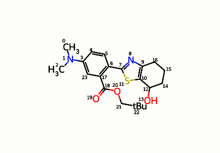 CN(C)c1ccc(-c2nc3c(s2)C(O)CCC3)c(C(=O)OCC(C)(C)C)c1